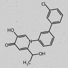 CC(O)c1cc(=O)c(O)cn1-c1cccc(-c2cccc(Cl)c2)c1